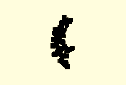 CSCC(NS(=O)(=O)c1ccc(OC(F)(F)F)cc1)C(=O)NCC#N